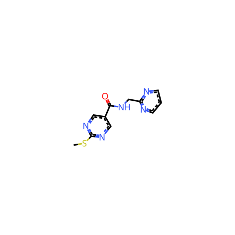 CSc1ncc(C(=O)NCc2ncccn2)cn1